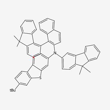 CC(C)(C)c1ccc2c(c1)sc1cc(N(c3ccc4c(c3)-c3ccccc3C4(C)C)c3ccc4ccccc4c3-c3cccc4c3-c3ccccc3C4(C)C)ccc12